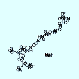 CC1(C)C(/C=C/C2=C(Oc3ccc(CCC(=O)NCCOCCOCOCCOCCC(=O)NCCNC(=O)c4ccc(-c5cn(Cc6cccc7c6CN(C(=O)C[C@@H]6C[C@@H](C(=O)N8CC(F)(F)C[C@H]8C#N)NC6=O)C7)nn5)cc4)cc3)C(=C/C=C3/N(CCCCS(=O)(=O)[O-])c4ccc(S(=O)(=O)[O-])cc4C3(C)C)/CCC2)=[N+](CCCCS(=O)(=O)[O-])c2ccc(S(=O)(=O)[O-])cc21.[Na+].[Na+].[Na+]